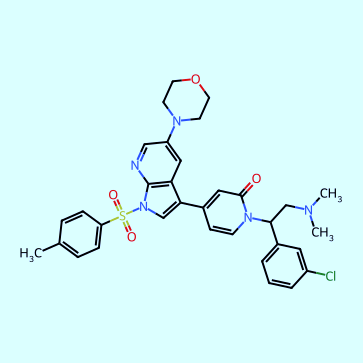 Cc1ccc(S(=O)(=O)n2cc(-c3ccn(C(CN(C)C)c4cccc(Cl)c4)c(=O)c3)c3cc(N4CCOCC4)cnc32)cc1